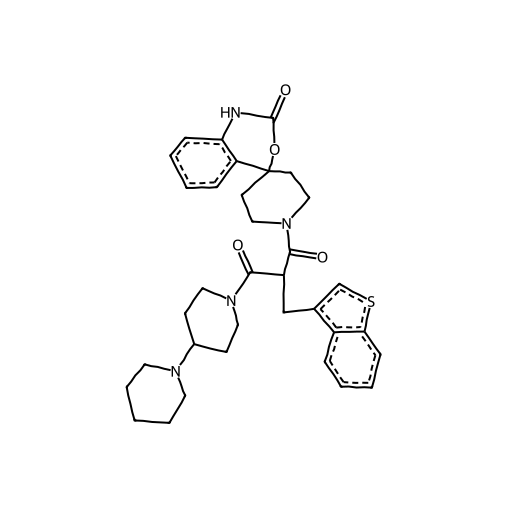 O=C1Nc2ccccc2C2(CCN(C(=O)C(Cc3csc4ccccc34)C(=O)N3CCC(N4CCCCC4)CC3)CC2)O1